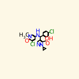 Cn1cc(NC(c2ccc(Cl)cc2)c2cnn(C3CC3)c2C(=O)O)cc(Cl)c1=O